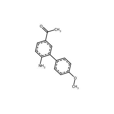 COc1ccc(-c2cc(C(C)=O)ccc2N)cc1